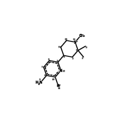 CC1(C)CC(c2ccc(N)c(Br)n2)CC[S+]1[O-]